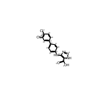 O=C(O)c1[nH]nnc1Nc1ccc(-c2ccc(Cl)c(Cl)c2)cc1